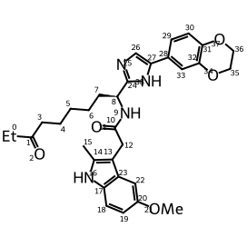 CCC(=O)CCCCC[C@H](NC(=O)Cc1c(C)[nH]c2ccc(OC)cc12)c1ncc(-c2ccc3c(c2)OCCO3)[nH]1